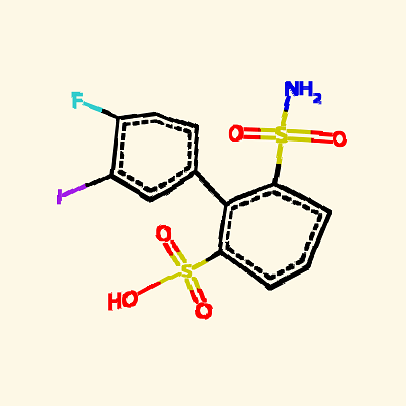 NS(=O)(=O)c1cccc(S(=O)(=O)O)c1-c1ccc(F)c(I)c1